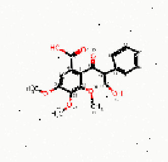 COc1cc(C(=O)O)c(C(=O)C(CO)c2ccccc2)c(OC)c1OC